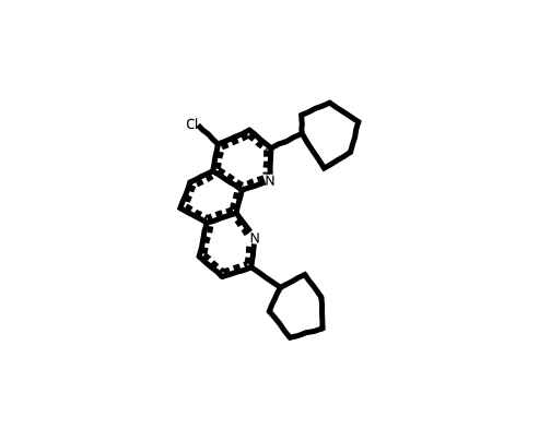 Clc1cc(C2CCCCC2)nc2c1ccc1ccc(C3CCCCC3)nc12